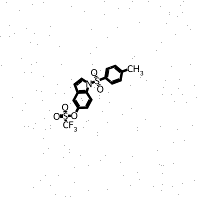 Cc1ccc(S(=O)(=O)n2ccc3cc(OS(=O)(=O)C(F)(F)F)ccc32)cc1